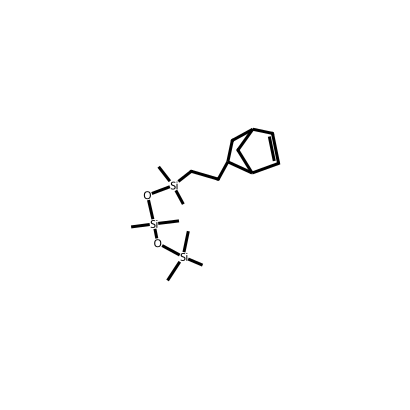 C[Si](C)(C)O[Si](C)(C)O[Si](C)(C)CCC1CC2C=CC1C2